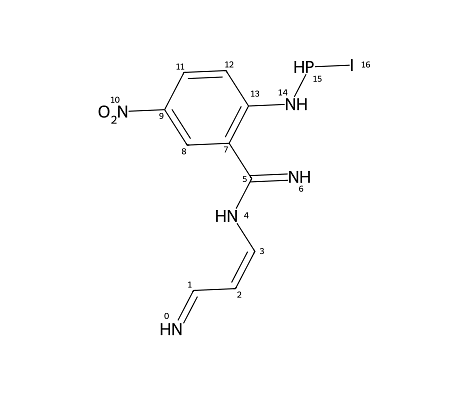 N=C/C=C\NC(=N)c1cc([N+](=O)[O-])ccc1NPI